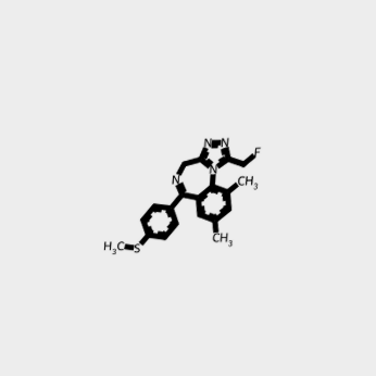 CSc1ccc(C2=NCc3nnc(CF)n3-c3c(C)cc(C)cc32)cc1